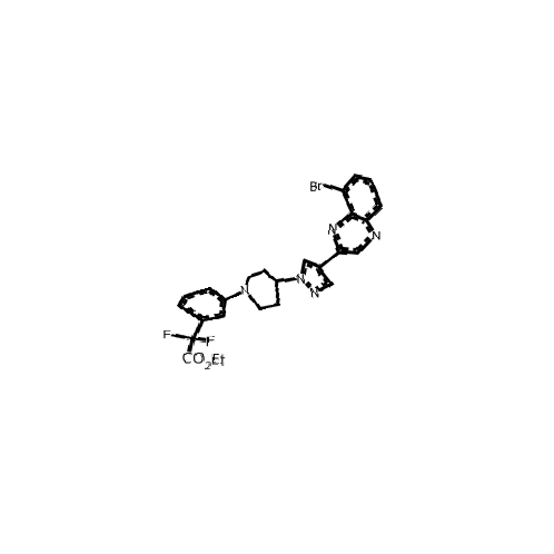 CCOC(=O)C(F)(F)c1cccc(N2CCC(n3cc(-c4cnc5cccc(Br)c5n4)cn3)CC2)c1